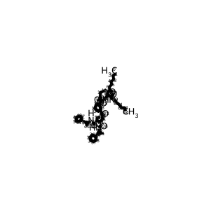 CCCCCCCC(=O)N1CCCN(S(=O)(=O)c2cccc(C(=O)N3C[C@@H](C(=O)N[C@H]4C[C@@H]4c4ccccc4)[C@H](C(=O)N[C@H]4C[C@@H]4c4ccccc4)C3)c2)CC1C(=O)NCCCCCC